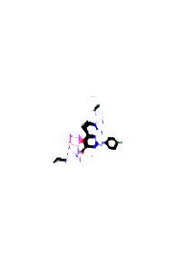 CCCNC(=O)c1cn(-c2ccc(F)cc2F)c2nc(N(C)CCF)ccc2c1=O